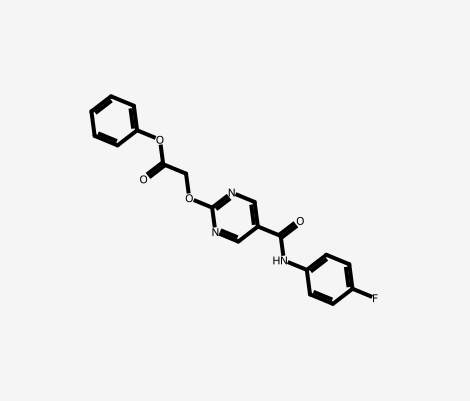 O=C(COc1ncc(C(=O)Nc2ccc(F)cc2)cn1)Oc1ccccc1